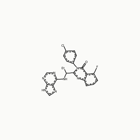 CCC(Nc1ncnc2[nH]cnc12)c1nc2cccc(F)c2c(=O)n1-c1ccc(Cl)cc1